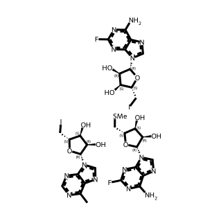 CSC[C@H]1O[C@@H](n2cnc3c(N)nc(F)nc32)[C@H](O)[C@@H]1O.Cc1ncnc2c1ncn2[C@@H]1O[C@H](CI)[C@@H](O)[C@H]1O.Nc1nc(F)nc2c1ncn2[C@@H]1O[C@H](CI)[C@@H](O)[C@H]1O